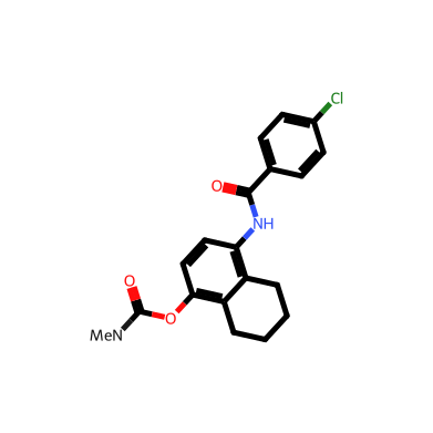 CNC(=O)Oc1ccc(NC(=O)c2ccc(Cl)cc2)c2c1CCCC2